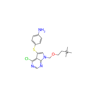 C[Si](C)(C)CCOCn1cc(Sc2ccc(N)cc2)c2c(Cl)ncnc21